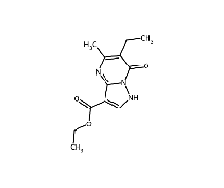 CCOC(=O)c1c[nH]n2c(=O)c(CC)c(C)nc12